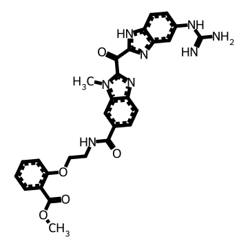 COC(=O)c1ccccc1OCCNC(=O)c1ccc2nc(C(=O)c3nc4cc(NC(=N)N)ccc4[nH]3)n(C)c2c1